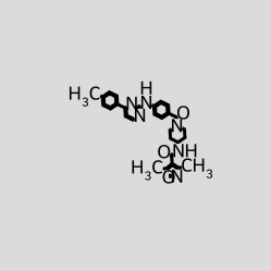 Cc1ccc(-c2ccnc(Nc3ccc(C(=O)N4CCC(NC(=O)c5c(C)noc5C)CC4)cc3)n2)cc1